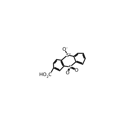 O=C(O)c1ccc2c(c1)S(=O)(=O)c1ccccc1[S+]2[O-]